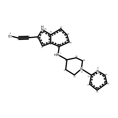 CCC#Cc1cc2c(NC3CCN(c4ccccn4)CC3)cccc2[nH]1